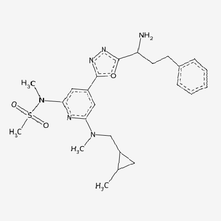 CC1CC1CN(C)c1cc(-c2nnc(C(N)CCc3ccccc3)o2)cc(N(C)S(C)(=O)=O)n1